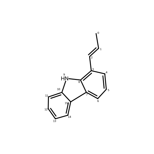 CC=Cc1cccc2c1[nH]c1ccccc12